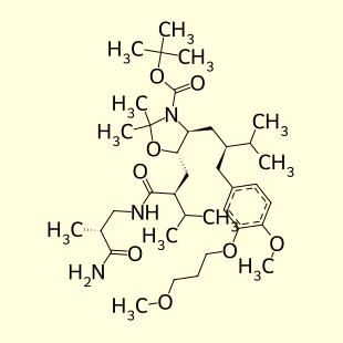 COCCCOc1cc(C[C@@H](C[C@H]2[C@H](C[C@H](C(=O)NC[C@@H](C)C(N)=O)C(C)C)OC(C)(C)N2C(=O)OC(C)(C)C)C(C)C)ccc1OC